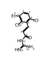 CCc1ccc(Cl)c(C=CC(=O)NC(=N)N)c1Cl